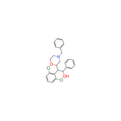 OC(c1ccccc1)C(c1c(Cl)cccc1Cl)C1CN(Cc2ccccc2)CCO1